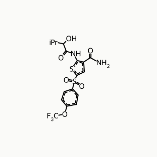 CC(C)C(O)C(=O)Nc1sc(S(=O)(=O)c2ccc(OC(F)(F)F)cc2)cc1C(N)=O